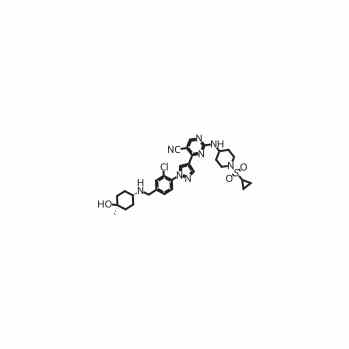 C[C@]1(O)CC[C@H](NCc2ccc(-n3cc(-c4nc(NC5CCN(S(=O)(=O)C6CC6)CC5)ncc4C#N)cn3)c(Cl)c2)CC1